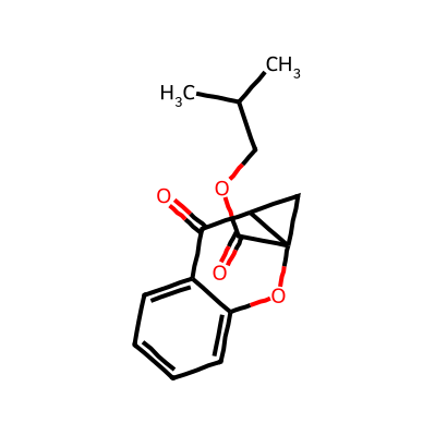 CC(C)COC(=O)C12CC1C(=O)c1ccccc1O2